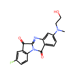 CN(CCO)c1ccc2c(=O)n3c(nc2c1)C(=O)c1cc(F)ccc1-3